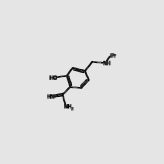 CC(C)NCc1ccc(C(=N)N)c(O)c1